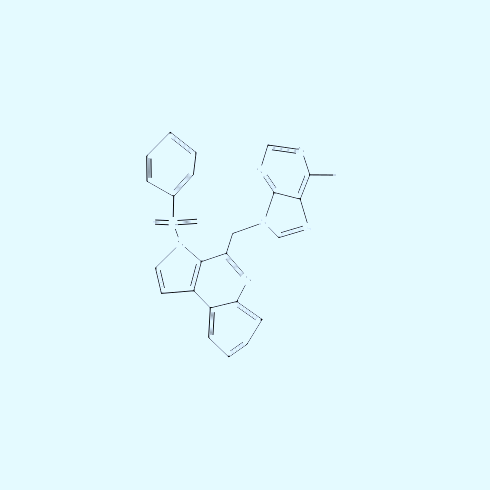 O=S(=O)(c1ccccc1)n1ccc2c3ccccc3nc(Cn3cnc4c(Cl)ncnc43)c21